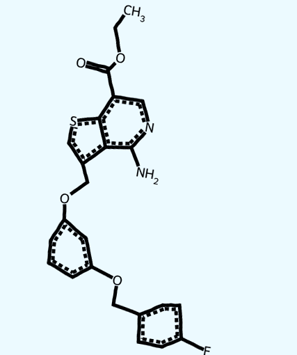 CCOC(=O)c1cnc(N)c2c(COc3cccc(OCc4ccc(F)cc4)c3)csc12